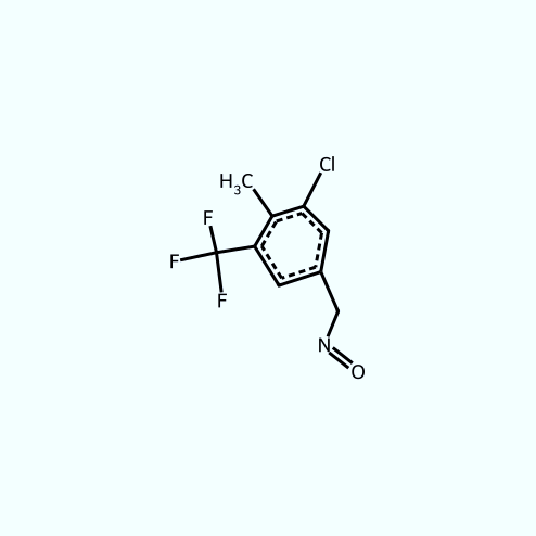 Cc1c(Cl)cc(CN=O)cc1C(F)(F)F